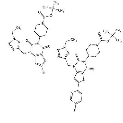 CCn1nnc(Cn2c(=O)n(C3CCN(C(=O)OC(C)(C)C)CC3)c(=O)c3sc(-c4ccc(F)cc4)cc32)n1.CCn1nnc(Cn2c(=O)n(C3CCN(C(=O)OC(C)(C)C)CC3)c(=O)c3sc(Br)cc32)n1